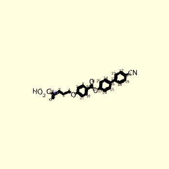 C/C(=C\CCOc1ccc(C(=O)Oc2ccc(-c3ccc(C#N)cc3)cc2)cc1)C(=O)O